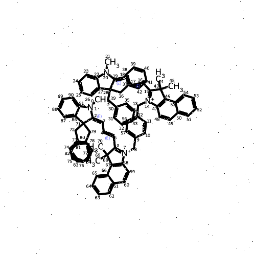 CN1/C(=C/C=C/C2=[N+](Cc3ccc(C[N+]4=C(/C=C/C=C5/N(C)c6ccccc6C5(Cc5ccccc5)Cc5ccccc5)C(C)(C)c5c4ccc4ccccc54)cc3)c3ccc4ccccc4c3C2(C)C)C(Cc2ccccc2)(Cc2ccccc2)c2ccccc21